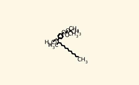 CCCCCCCCCCCCC(C)N(CC)c1ccc(OC(=O)OC(C)(C)C)cc1